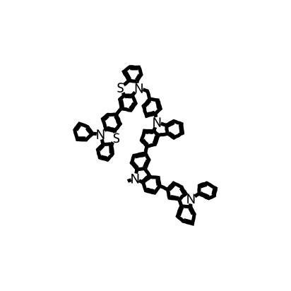 Cn1c2ccc(-c3ccc4c(c3)c3ccccc3n4-c3ccccc3)cc2c2cc(-c3ccc4c(c3)c3ccccc3n4-c3ccc(CN4c5ccccc5Sc5cc(-c6ccc7c(c6)Sc6ccccc6N7c6ccccc6)ccc54)cc3)ccc21